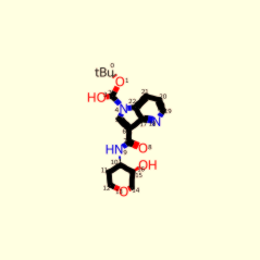 CC(C)(C)OC(O)n1cc(C(=O)N[C@H]2CCOC[C@@H]2O)c2ncccc21